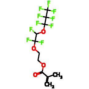 C=C(C)C(=O)OCCOC(F)(F)C(F)OC(F)(F)C(F)(F)C(F)(F)F